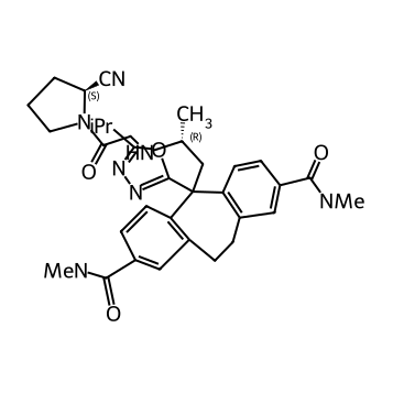 CNC(=O)c1ccc2c(c1)CCc1cc(C(=O)NC)ccc1C2(C[C@@H](C)NCC(=O)N1CCC[C@H]1C#N)c1nnc(C(C)C)o1